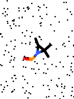 CC1N(P=O)C1(C)C